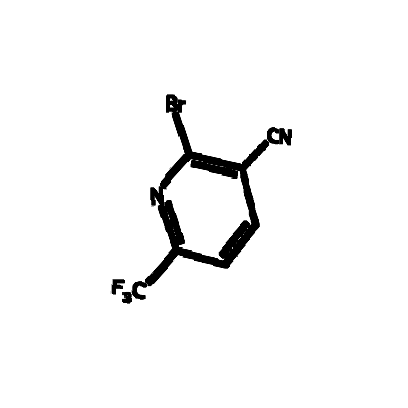 N#Cc1ccc(C(F)(F)F)nc1Br